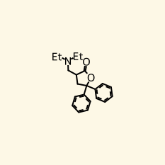 CCN(CC)CC1CC(c2ccccc2)(c2ccccc2)OC1=O